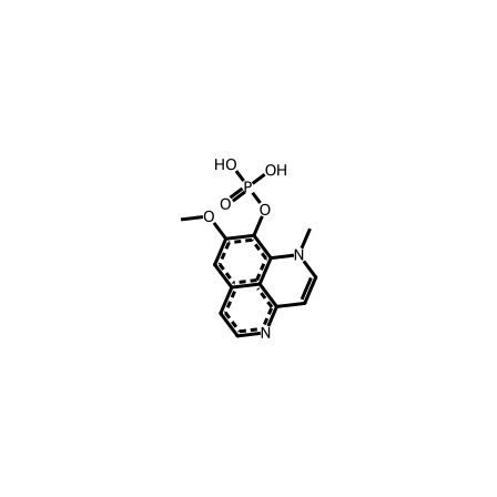 COc1cc2ccnc3c2c(c1OP(=O)(O)O)N(C)C=C3